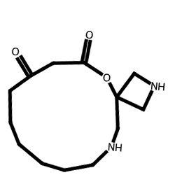 O=C1CCCCCCNCC2(CNC2)OC(=O)C1